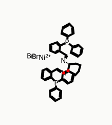 C(=N[C@@H]1CCCC[C@H]1N=Cc1ccccc1P(c1ccccc1)c1ccccc1)c1ccccc1P(c1ccccc1)c1ccccc1.[Br-].[Br-].[Ni+2]